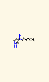 CCCCCNC1CCNC1